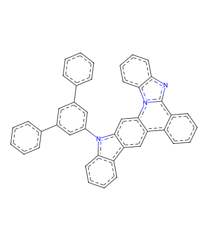 c1ccc(-c2cc(-c3ccccc3)cc(-n3c4ccccc4c4cc5c6ccccc6c6nc7ccccc7n6c5cc43)c2)cc1